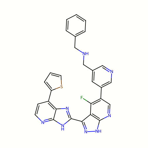 Fc1c(-c2cncc(CNCc3ccccc3)c2)cnc2[nH]nc(-c3nc4c(-c5cccs5)ccnc4[nH]3)c12